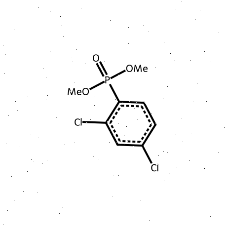 COP(=O)(OC)c1ccc(Cl)cc1Cl